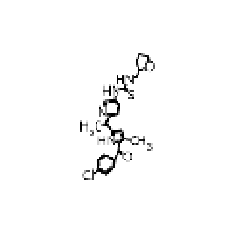 Cc1cc(C(C)c2ccc(NC(=S)NCC3CCCO3)cn2)[nH]c1C(=O)c1ccc(Cl)cc1